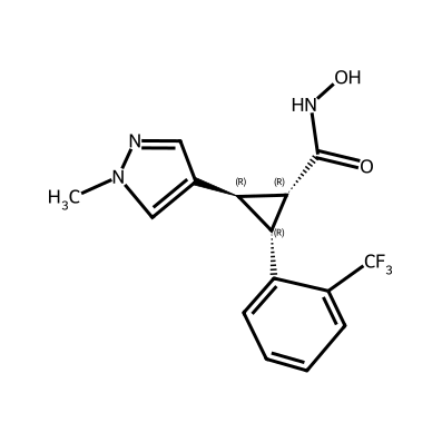 Cn1cc([C@H]2[C@H](C(=O)NO)[C@@H]2c2ccccc2C(F)(F)F)cn1